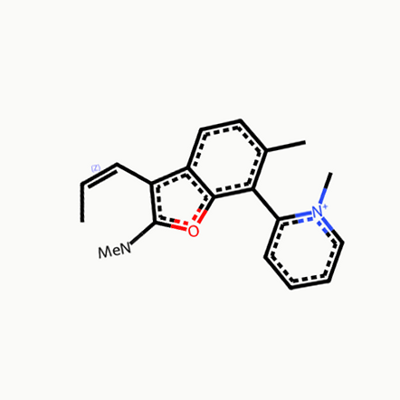 C/C=C\c1c(NC)oc2c(-c3cccc[n+]3C)c(C)ccc12